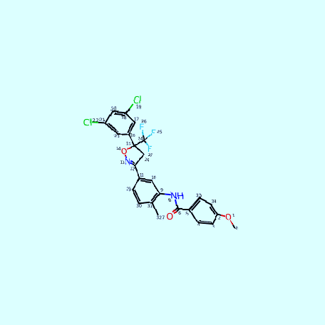 COc1ccc(C(=O)Nc2cc(C3=NOC(c4cc(Cl)cc(Cl)c4)(C(F)(F)F)C3)ccc2C)cc1